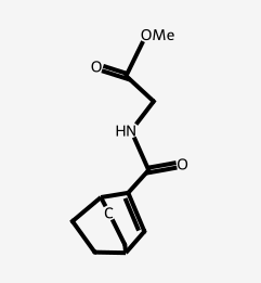 COC(=O)CNC(=O)C1=CC2CCC1CC2